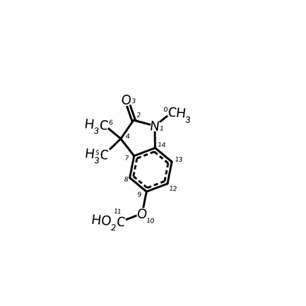 CN1C(=O)C(C)(C)c2cc(OC(=O)O)ccc21